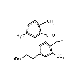 CCCCCCCCCCCCc1ccc(O)c(C(=O)O)c1.Cc1ccc(C)c(C=O)c1